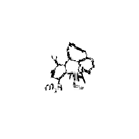 CCNC1=C(C(=O)O)C=CC(=O)C1c1cccc2c1OCC=C2